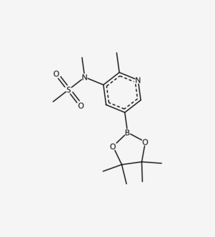 Cc1ncc(B2OC(C)(C)C(C)(C)O2)cc1N(C)S(C)(=O)=O